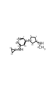 CNC1CCN(c2cnnc(NC3CC3)c2)C1